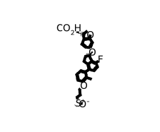 Cc1c(OCCC[S+](C)[O-])cccc1-c1ccc(F)c2c1CC[C@H]2Oc1ccc2c(c1)OC[C@H]2CC(=O)O